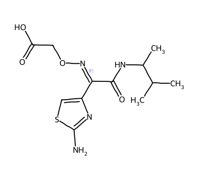 CC(C)C(C)NC(=O)/C(=N/OCC(=O)O)c1csc(N)n1